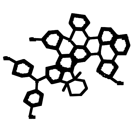 CC(C)(C)c1ccc(N(c2ccc(C(C)(C)C)cc2)c2ccc3c(c2)C2(C)CCCCC2(C)N3c2cc3c4c(c2)N(c2ccc(C(C)(C)C)cc2-c2ccccc2)c2cc(C(C)(C)C)ccc2B4c2ccccc2N3c2ccc(C(C)(C)C)cc2-c2ccccc2)cc1